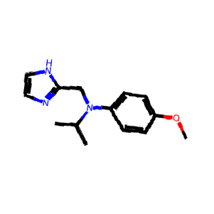 COc1ccc(N(Cc2ncc[nH]2)C(C)C)cc1